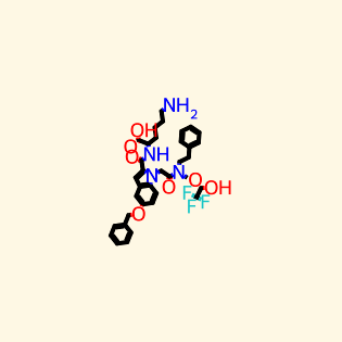 CN(CCc1ccccc1)C(=O)Cn1c(C(=O)NC(CCCCN)C(=O)O)cc2cc(OCc3ccccc3)ccc21.O=C(O)C(F)(F)F